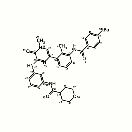 Cc1c(NC(=O)c2ccc(C(C)(C)C)cc2)cccc1-c1cn(C)c(=O)c(Nc2cccc(NC(=O)C3CCOCC3)c2)n1